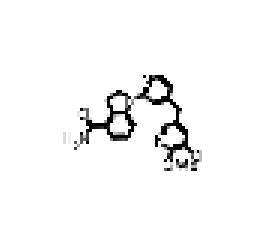 COc1ncc(Cc2ccnc(N3CCc4c(C(N)=O)cccc43)c2)cc1Cl